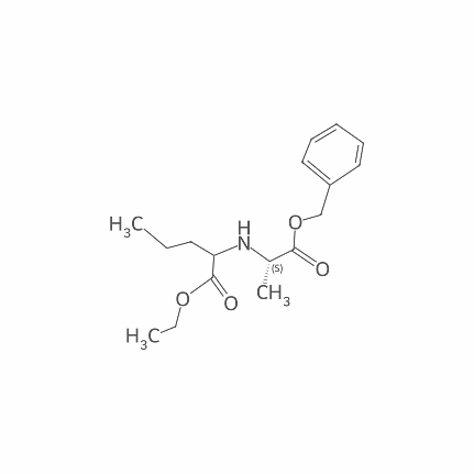 CCCC(N[C@@H](C)C(=O)OCc1ccccc1)C(=O)OCC